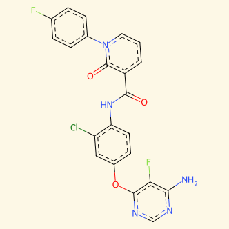 Nc1ncnc(Oc2ccc(NC(=O)c3cccn(-c4ccc(F)cc4)c3=O)c(Cl)c2)c1F